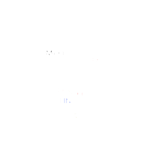 COc1cccc2c1-c1ccc(S(=O)(=O)Nc3cccs3)cc1C(c1ccccc1)O2